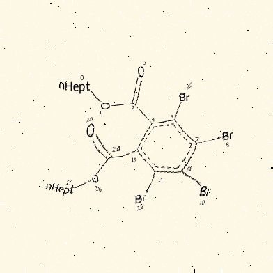 CCCCCCCOC(=O)c1c(Br)c(Br)c(Br)c(Br)c1C(=O)OCCCCCCC